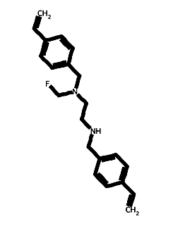 C=Cc1ccc(CNCCN(CF)Cc2ccc(C=C)cc2)cc1